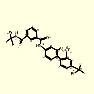 CCC(C)(C)NC(=O)c1cccc(C(=O)Nc2ccc(-c3ccc(C(C)(C)CC)cc3C(F)(F)F)c(C(F)(F)F)c2)c1